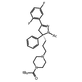 CC(=O)N1N=C(c2cc(F)ccc2F)C[C@]1(CCCN1CCN(C(=O)C(C)(C)C)CC1)c1ccccc1